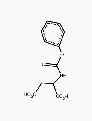 O=C(O)CC(NC(=O)Oc1ccccc1)C(=O)O